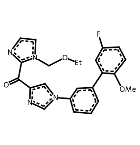 CCOCn1ccnc1C(=O)c1cn(-c2cccc(-c3cc(F)ccc3OC)c2)cn1